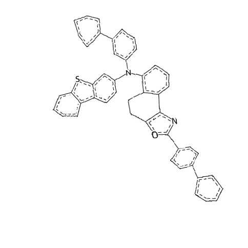 c1ccc(-c2ccc(-c3nc4c(o3)CCc3c-4cccc3N(c3cccc(-c4ccccc4)c3)c3ccc4c(c3)sc3ccccc34)cc2)cc1